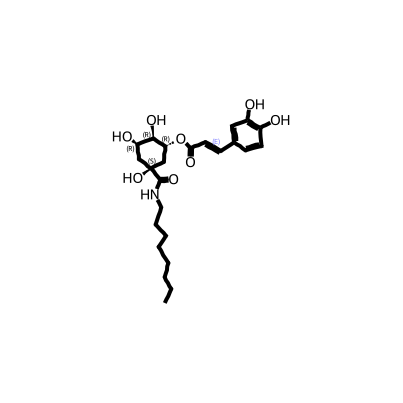 CCCCCCCCNC(=O)[C@]1(O)C[C@@H](O)[C@@H](O)[C@H](OC(=O)/C=C/c2ccc(O)c(O)c2)C1